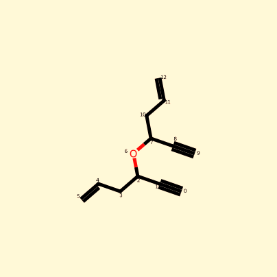 C#CC(CC=C)OC(C#C)CC=C